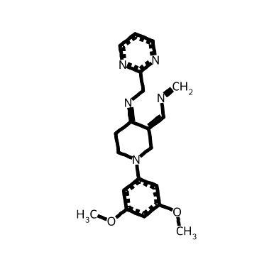 C=N/C=C1/CN(c2cc(OC)cc(OC)c2)CC/C1=N/Cc1ncccn1